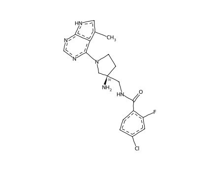 Cc1c[nH]c2ncnc(N3CC[C@](N)(CNC(=O)c4ccc(Cl)cc4F)C3)c12